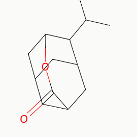 CC(C)C1C2CC3CC(C2)C(=O)OC1C3